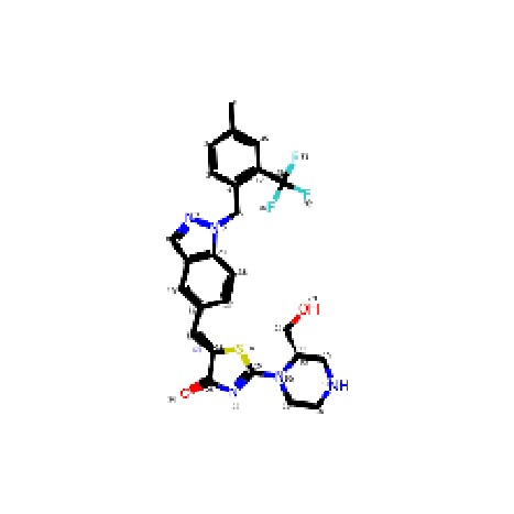 Cc1ccc(Cn2ncc3cc(/C=C4\SC(N5CCNC[C@@H]5CO)=NC4=O)ccc32)c(C(F)(F)F)c1